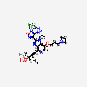 CCn1c(-c2nonc2N)nc2c(C#CC(C)(C)O)ncc(OCCCN3CCC3)c21.Cl.Cl